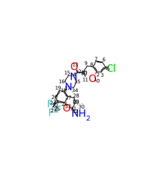 COc1cc(Cl)ccc1C[C@@H](C)C(=O)N1CCN(c2ccc(C(F)(F)F)cc2[CH][C@H](C)C(N)=O)CC1